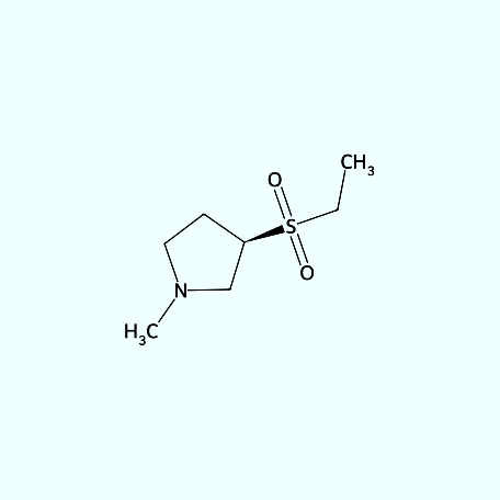 CCS(=O)(=O)[C@@H]1CCN(C)C1